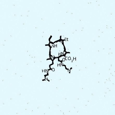 C=Cc1c(C)c2cc3nc(c(CC(=O)NCCN(C)C)c4[nH]c(cc5nc(cc1[nH]2)C(C)=C5CC)c(C)c4C(=O)O)C(CCC(=O)NCCN(C)C)C3C